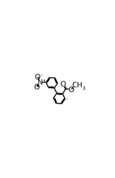 COC(=O)c1[c]cccc1-c1cccc([N+](=O)[O-])c1